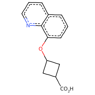 O=C(O)C1CC(Oc2cccc3cccnc23)C1